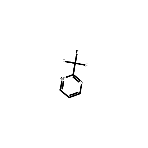 FC(F)(F)C1=NC=CC=[N+]1